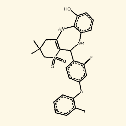 CC1(C)CC2=C(C(c3ccc(Oc4ccccc4F)cc3F)Nc3cccc(O)c3N2)S(=O)(=O)C1